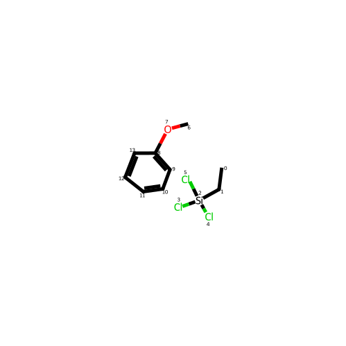 CC[Si](Cl)(Cl)Cl.COc1ccccc1